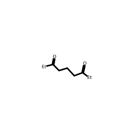 CCC(=O)CCCC(=O)CC